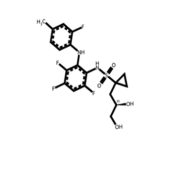 Cc1ccc(Nc2c(F)c(F)cc(F)c2NS(=O)(=O)C2(C[C@@H](O)CO)CC2)c(F)c1